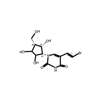 O=c1[nH]c(=O)n([C@@H]2C(O)C(O)[C@H](CO)[C@@H]2O)cc1/C=C/Br